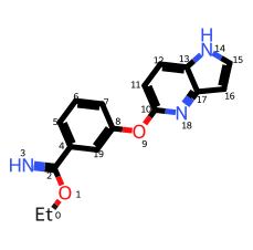 CCOC(=N)c1cccc(Oc2ccc3[nH]ccc3n2)c1